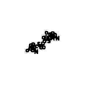 CC1=C(C#N)C(=O)N(C(=O)OCc2ccccc2)C(=O)/C1=C\c1cc2c(s1)C1=CC3C=C4C(=CC3C=C1C1(CCCCC1)O2)c1sc(/C=C2/C(=O)N(C(=O)OCc3ccccc3)C(=O)C(C#N)=C2C)cc1OC41CCCCC1